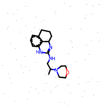 CC(CNC1=NC2CCCc3cccc(c32)N1)N1CCOCC1